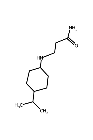 CC(C)C1CCC(NCCC(N)=O)CC1